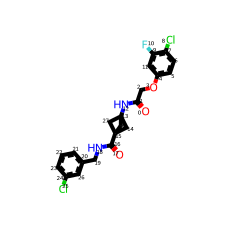 O=C(COc1ccc(Cl)c(F)c1)NC12CC(C(=O)NCc3cccc(Cl)c3)(C1)C2